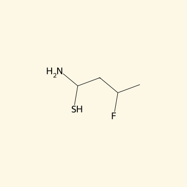 CC(F)CC(N)S